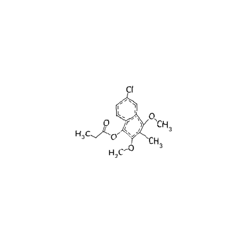 CCC(=O)Oc1c(OC)c(C)c(OC)c2cc(Cl)ccc12